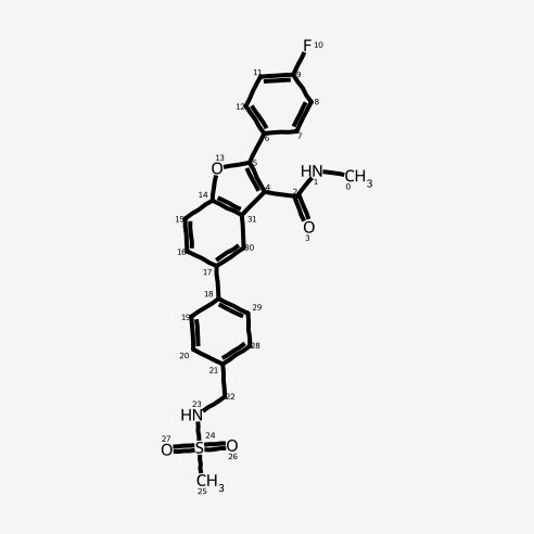 CNC(=O)c1c(-c2ccc(F)cc2)oc2ccc(-c3ccc(CNS(C)(=O)=O)cc3)cc12